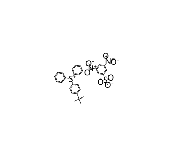 CC(C)(C)c1ccc([S+](c2ccccc2)c2ccccc2)cc1.O=[N+]([O-])c1cc([N+](=O)[O-])cc(S(=O)(=O)[O-])c1